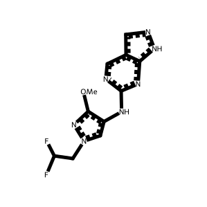 COc1nn(CC(F)F)cc1Nc1ncc2cn[nH]c2n1